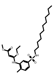 CCCCCCCCCCCCNS(=O)(=O)c1ccc(C)c(NC(=CC(=O)OC)OCC)c1